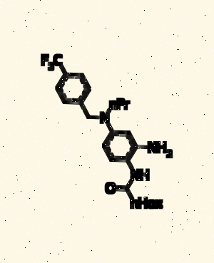 CCCCCCC(=O)Nc1ccc(N(CCC)Cc2ccc(C(F)(F)F)cc2)cc1N